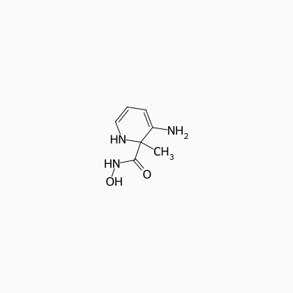 CC1(C(=O)NO)NC=CC=C1N